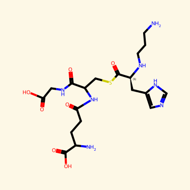 NCCCN[C@@H](Cc1cnc[nH]1)C(=O)SCC(NC(=O)CCC(N)C(=O)O)C(=O)NCC(=O)O